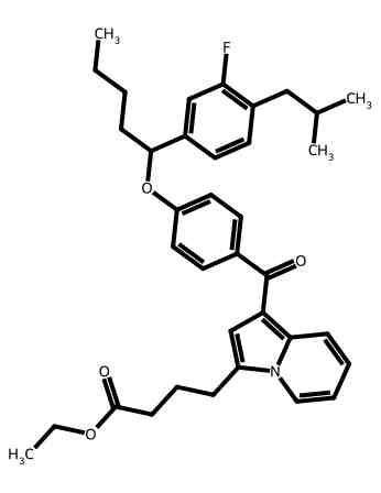 CCCCC(Oc1ccc(C(=O)c2cc(CCCC(=O)OCC)n3ccccc23)cc1)c1ccc(CC(C)C)c(F)c1